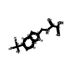 O=C(O)C(=O)NCc1cc2cc(C(F)(F)F)ccc2o1